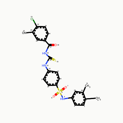 Cc1ccc(NS(=O)(=O)c2ccc(NC(=S)NC(=O)c3ccc(Cl)c(N=O)c3)cc2)cc1C